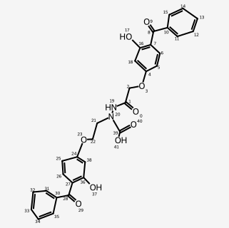 O=C(COc1ccc(C(=O)c2ccccc2)c(O)c1)NN(CCOc1ccc(C(=O)c2ccccc2)c(O)c1)C(=O)O